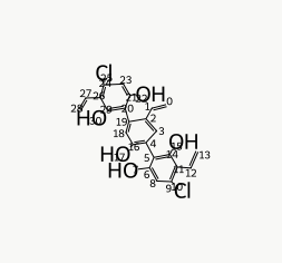 C=Cc1cc(-c2c(O)cc(Cl)c(C=C)c2O)c(O)cc1-c1c(O)cc(Cl)c(C=C)c1O